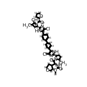 CC1C[C@@H](c2nc(Cl)c(-c3ccc(-c4ccc(-c5[nH]c([C@@H]6CCC(C)N6C(=O)[C@@H](NC(=O)OI)C6CCOCC6)nc5Cl)cc4)cc3)[nH]2)N(C(=O)[C@H]2CCCO2)[C@@H]1C